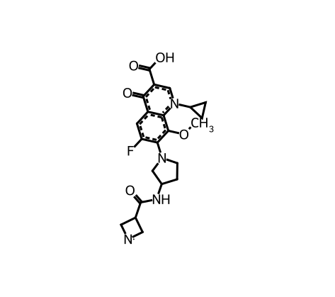 COc1c(N2CCC(NC(=O)C3C[N]C3)C2)c(F)cc2c(=O)c(C(=O)O)cn(C3CC3)c12